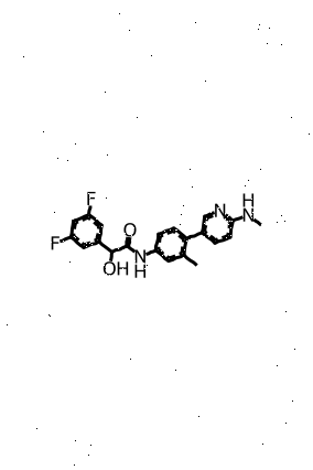 CNc1ccc(-c2ccc(NC(=O)C(O)c3cc(F)cc(F)c3)cc2C)cn1